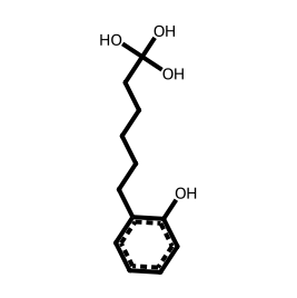 Oc1ccccc1CCCCCC(O)(O)O